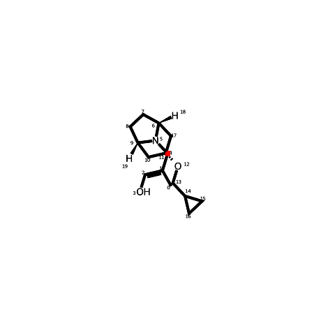 C/C(=C\O)CN1[C@@H]2CC[C@H]1C[C@@H](OCC1CC1)C2